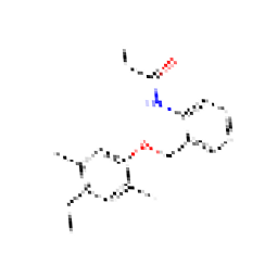 CCC(=O)Nc1ccccc1COc1cc(C)c(CC)cc1C